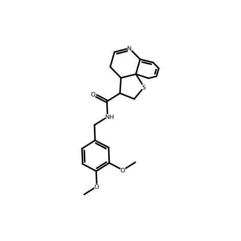 COc1ccc(CNC(=O)C2CSC34CC=CC=C3N=CCC24)cc1OC